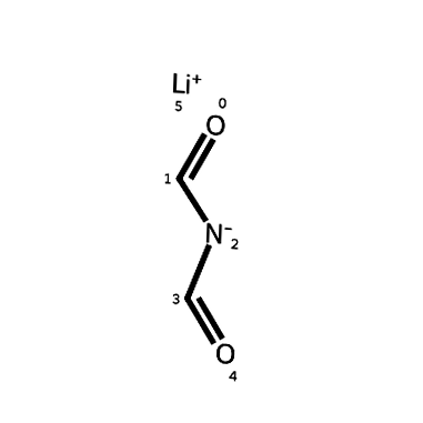 O=C[N-]C=O.[Li+]